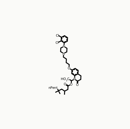 CCCCCC(C)(C)CC(C)CC(=O)OC(C(=O)O)N1C(=O)CCc2ccc(OCCCCN3CCN(c4cccc(Cl)c4Cl)CC3)cc21